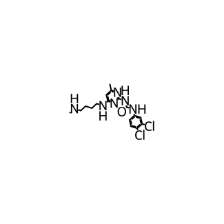 CNCCCCNc1cc(C)nc(NC(=O)Nc2ccc(Cl)c(Cl)c2)n1